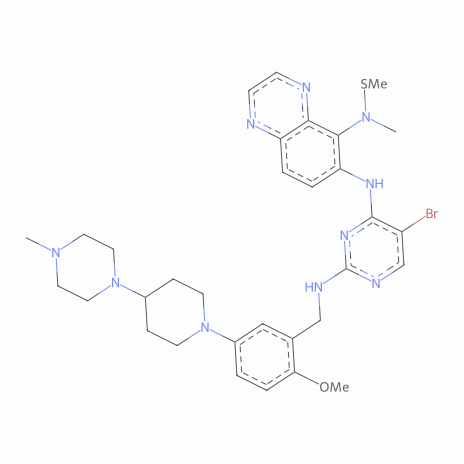 COc1ccc(N2CCC(N3CCN(C)CC3)CC2)cc1CNc1ncc(Br)c(Nc2ccc3nccnc3c2N(C)SC)n1